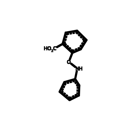 O=C(O)c1ccccc1ONc1ccccc1